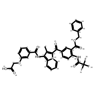 Cc1c(NC(=O)c2cccc(OCC(=O)O)c2)c2ccccn2c1C(=O)c1ccc(NC(=O)C(F)(F)F)c(C(=O)OCc2ccccc2)c1